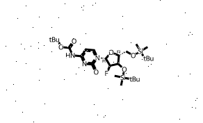 CC(C)(C)OC(=O)Nc1ccn([C@@H]2O[C@H](CO[Si](C)(C)C(C)(C)C)C(O[Si](C)(C)C(C)(C)C)C2F)c(=O)n1